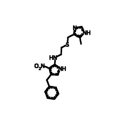 Cc1[nH]cnc1CSCCNc1[nH]cc(Cc2ccccc2)c1[N+](=O)[O-]